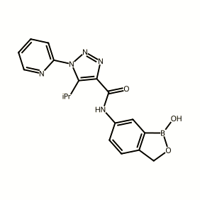 CC(C)c1c(C(=O)Nc2ccc3c(c2)B(O)OC3)nnn1-c1ccccn1